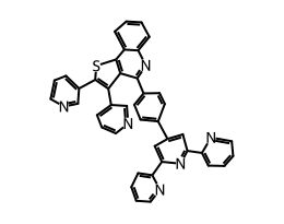 c1ccc(-c2cc(-c3ccc(-c4nc5ccccc5c5sc(-c6cccnc6)c(-c6cccnc6)c45)cc3)cc(-c3ccccn3)n2)nc1